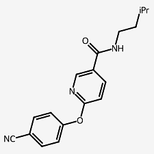 CC(C)CCNC(=O)c1ccc(Oc2ccc(C#N)cc2)nc1